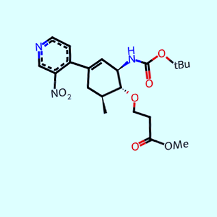 COC(=O)CCO[C@@H]1[C@@H](C)CC(c2ccncc2[N+](=O)[O-])=C[C@H]1NC(=O)OC(C)(C)C